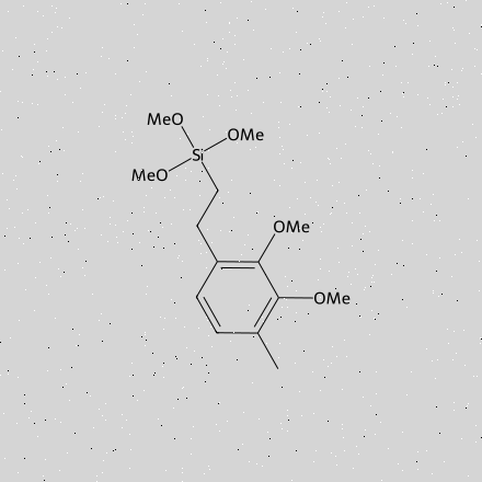 COc1c(C)ccc(CC[Si](OC)(OC)OC)c1OC